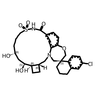 O=C1NS(=O)(=O)CCC[C@@H](O)C[C@H](O)[C@@H]2CC[C@H]2CN2C[C@@]3(CCCc4cc(Cl)ccc43)COc3ccc1cc32